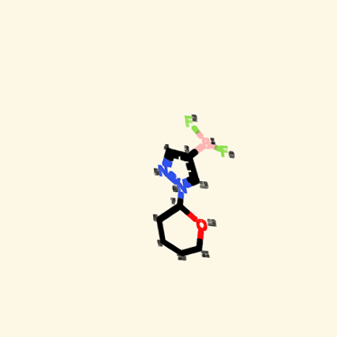 FB(F)c1cnn(C2CCCCO2)c1